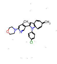 C=C1C=Cc2cc(-c3cnc(N4CCOCC4)cc3C)n(-c3ccc(Cl)cc3)c2C=C1